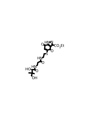 CCOC(=O)c1n[nH]c2c1C(=O)C(SCCNC(=O)CCNC(=O)[C@H](O)C(C)(C)CO)=CC2=O